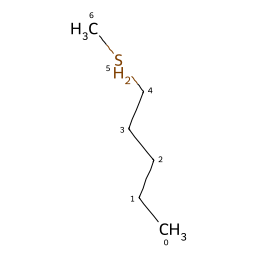 CCCCC[SH2]C